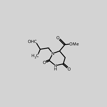 COC(=O)C1CC(=O)NC(=O)N1[CH]C(C)C=O